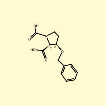 O=C(O)[C@@H]1[C@H](OCc2ccccc2)CCN1C(=O)O